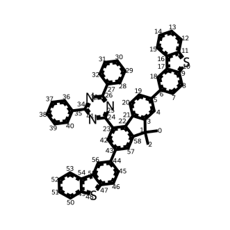 CC1(C)c2cc(-c3ccc4sc5ccccc5c4c3)ccc2-c2c(-c3nc(-c4ccccc4)nc(-c4ccccc4)n3)cc(-c3ccc4sc5ccccc5c4c3)cc21